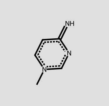 Cn1ccc(=N)nc1